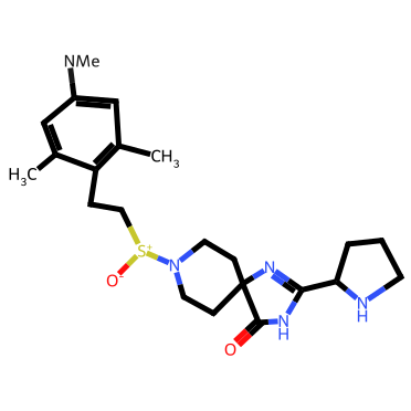 CNc1cc(C)c(CC[S+]([O-])N2CCC3(CC2)N=C(C2CCCN2)NC3=O)c(C)c1